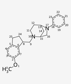 COc1ccc2c(c1)C(CN1CCC3CC1CN3c1ccccc1)CC2